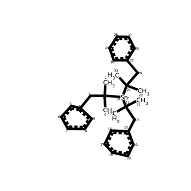 C[C](C)(Cc1ccccc1)[Sn]([C](C)(C)Cc1ccccc1)[C](C)(C)Cc1ccccc1